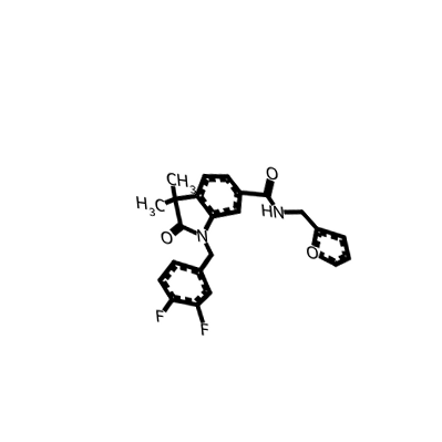 CC1(C)C(=O)N(Cc2ccc(F)c(F)c2)c2cc(C(=O)NCc3ccco3)ccc21